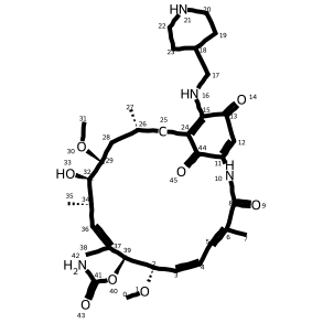 CO[C@H]1C=CC=C(C)C(=O)NC2=CC(=O)C(NCC3CCNCC3)=C(C[C@@H](C)C[C@H](OC)[C@H](O)[C@@H](C)C=C(C)[C@@H]1OC(N)=O)C2=O